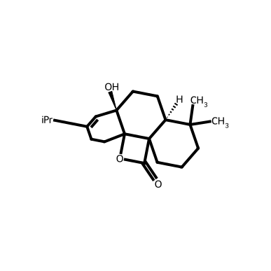 CC(C)C1=C[C@]2(O)CC[C@H]3C(C)(C)CCCC34C(=O)OC42CC1